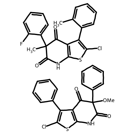 COC1(c2ccccc2)C(=O)Nc2sc(Cl)c(-c3ccccc3)c2C1=O.Cc1ccccc1-c1c(Cl)sc2c1C(=O)C(C)(c1ccccc1F)C(=O)N2